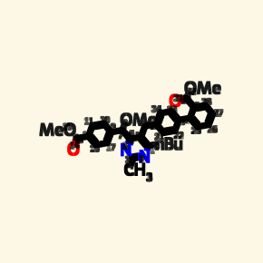 CCCCc1nc(C)nc(C(OC)c2ccc(C(=O)OC)cc2)c1Cc1ccc(-c2ccccc2C(=O)OC)cc1